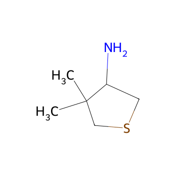 CC1(C)CSCC1N